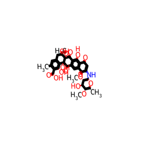 CO[C@@H]1[C@@H](O)[C@@H](OC)[C@@H](NC2=CC(=O)c3c(cc4c(c3O)C(=O)C3(OC)C(O)Cc5cc(C)c(C(=O)O)c(O)c5C3(O)C4=O)C2=O)O[C@H]1C